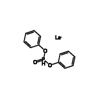 O=[PH](Oc1ccccc1)Oc1ccccc1.[La]